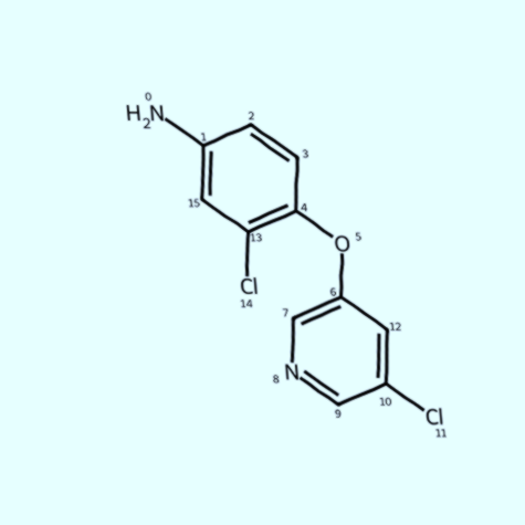 Nc1ccc(Oc2cncc(Cl)c2)c(Cl)c1